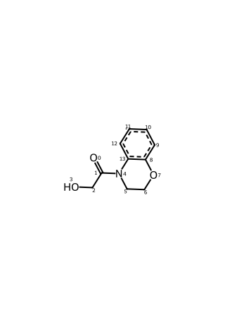 O=C(CO)N1CCOc2cc[c]cc21